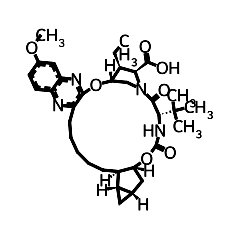 CC[C@@H]1[C@@H]2CN(C(=O)[C@H](C(C)(C)C)NC(=O)O[C@@H]3C[C@@H]4C[C@@H]4[C@H]3CCCCCc3nc4ccc(OC)cc4nc3O2)[C@@H]1C(=O)O